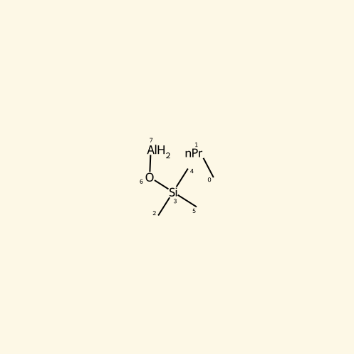 CCCC.C[Si](C)(C)[O][AlH2]